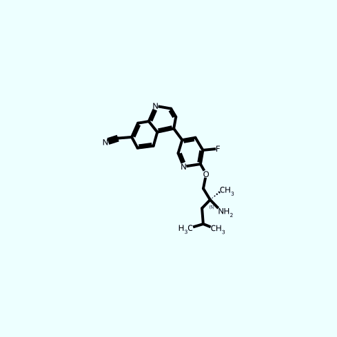 CC(C)C[C@](C)(N)COc1ncc(-c2ccnc3cc(C#N)ccc23)cc1F